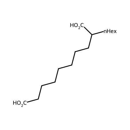 CCCCCCC(CCCCCCCC(=O)O)C(=O)O